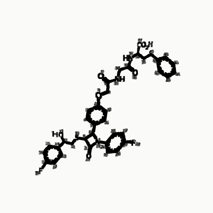 O=C(COc1ccc(C2C(SCC(O)c3ccc(F)cc3)C(=O)N2c2ccc(F)cc2)cc1)NCC(=O)N[C@H](CCc1ccccc1)C(=O)O